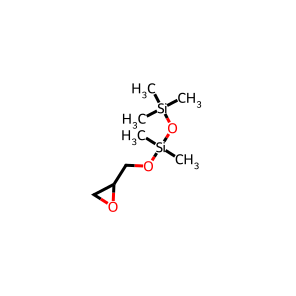 C[Si](C)(C)O[Si](C)(C)OCC1CO1